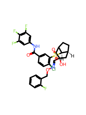 O=C(Nc1cc(F)c(F)c(F)c1)c1ccc(Cl)c(S(=O)(=O)[C@H]2C3CC[C@H]2C[C@](O)(/C=N/OCc2ccccc2F)C3)c1